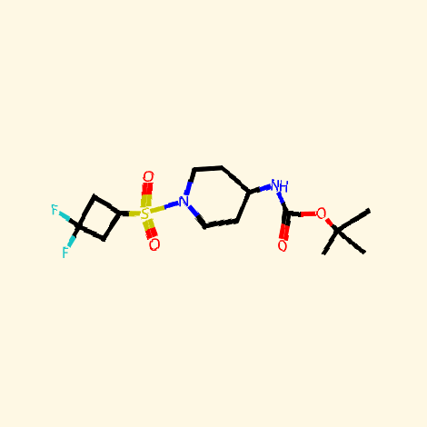 CC(C)(C)OC(=O)NC1CCN(S(=O)(=O)C2CC(F)(F)C2)CC1